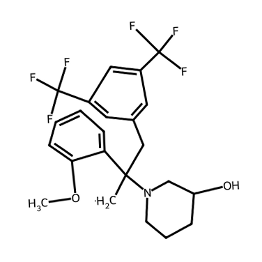 [CH2]C(Cc1cc(C(F)(F)F)cc(C(F)(F)F)c1)(c1ccccc1OC)N1CCCC(O)C1